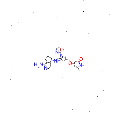 Cc1cc(OCC23CN(C4=NCCO4)C(CNc4cccc5c(N)nccc45)(C2)C3)cc(=O)n1C